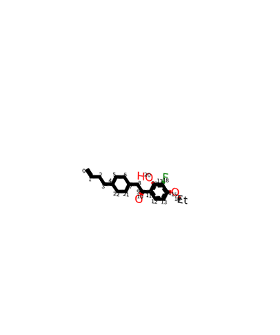 C=CCCC1CCC(CC(=O)c2ccc(OCC)c(F)c2O)CC1